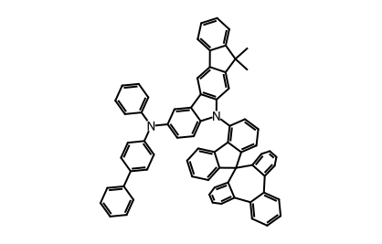 CC1(C)c2ccccc2-c2cc3c4cc(N(c5ccccc5)c5ccc(-c6ccccc6)cc5)ccc4n(-c4cccc5c4-c4ccccc4C54c5ccccc5-c5ccccc5-c5ccccc54)c3cc21